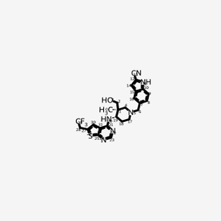 C[C@]1(CO)CN(Cc2ccc3[nH]c(C#N)cc3c2)CC[C@@H]1Nc1ncnc2sc(CC(F)(F)F)cc12